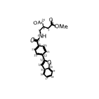 COC(=O)C[C@@H](CNC(=O)c1ccc(-c2cc3ccccc3o2)cc1)OC(C)=O